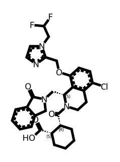 O=C(O)[C@H]1CCCC[C@H]1C(=O)N1CCc2c(Cl)ccc(OCc3nccn3CC(F)F)c2[C@H]1CN1Cc2ccccc2C1=O